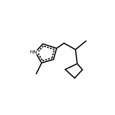 Cc1cc(CC(C)C2CCC2)c[nH]1